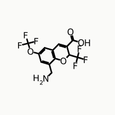 NCc1cc(OC(F)(F)F)cc2c1OC(C(F)(F)F)C(C(=O)O)=C2